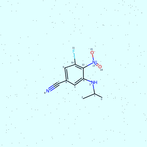 CC(C)Nc1cc(C#N)cc(F)c1[N+](=O)[O-]